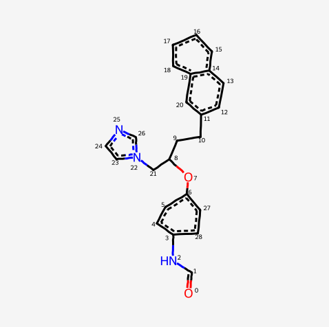 O=CNc1ccc(OC(CCc2ccc3ccccc3c2)Cn2ccnc2)cc1